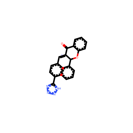 O=C1/C(=C/c2ccc(-c3nnn[nH]3)cc2)C(c2ccccc2)Oc2ccccc21